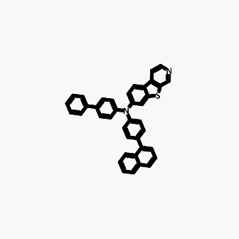 c1ccc(-c2ccc(N(c3ccc(-c4cccc5ccccc45)cc3)c3ccc4c(c3)sc3cnccc34)cc2)cc1